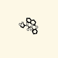 O=C(Nc1ccon1)Nc1ccccc1Oc1ccc2ccccc2n1